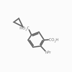 C1CC1.CCCc1ccc(C(=O)O)cc1C(=O)O